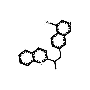 CC(C)c1cncc2cc(CC(C)c3ccc4ccccc4n3)ccc12